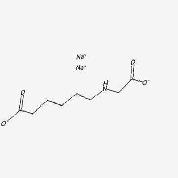 O=C([O-])CCCCCNCC(=O)[O-].[Na+].[Na+]